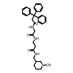 N#CN1CCCC(CNC(=O)CCNC(=O)CNC(=O)CC(c2ccccc2)(c2ccccc2)c2ccccc2)C1